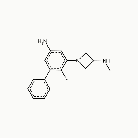 CNC1CN(c2cc(N)cc(-c3ccccc3)c2F)C1